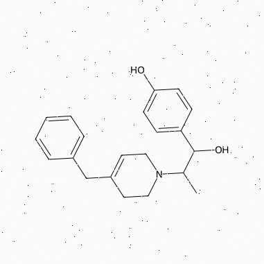 CC(C(O)c1ccc(O)cc1)N1CC=C(Cc2ccccc2)CC1